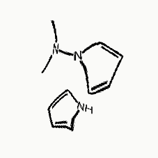 CN(C)n1cccc1.c1cc[nH]c1